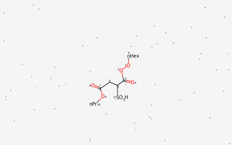 CCCCCCOOC(=O)C(CC(=O)OCCC)S(=O)(=O)O